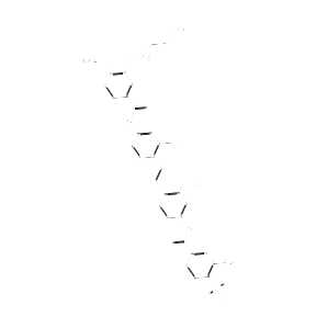 COCCN[S+]([O-])c1cc(C(=O)Nc2ccc(C=Cc3ccc(NC(=O)c4ccc(S(C)(=O)=O)c([N+](=O)[O-])c4)cc3S(=O)(=O)O)c(S(=O)(=O)O)c2)ccc1OC